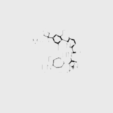 COC1(c2cc(F)c(-c3nc(C(=O)Nc4cnn(C)c4[C@@H]4CC[C@@H](N)[C@H](F)CO4)ccc3F)c(F)c2)COC1